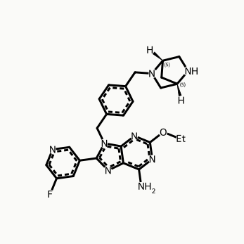 CCOc1nc(N)c2nc(-c3cncc(F)c3)n(Cc3ccc(CN4C[C@@H]5C[C@H]4CN5)cc3)c2n1